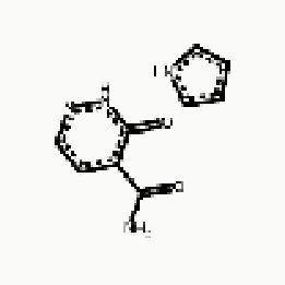 NC(=O)c1ccn[nH]c1=O.c1cc[nH]c1